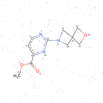 COC(=O)c1ccnc(N2CC3(COC3)C2)n1